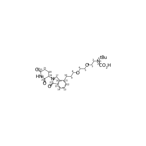 CC(C)(C)N(CCOCCOCCCc1cccc2c1CN(C1CCC(=O)NC1=O)C2=O)C(=O)O